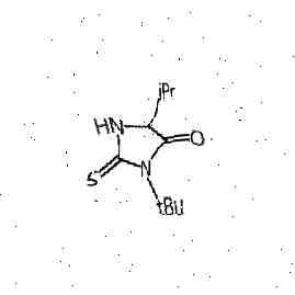 CC(C)C1NC(=S)N(C(C)(C)C)C1=O